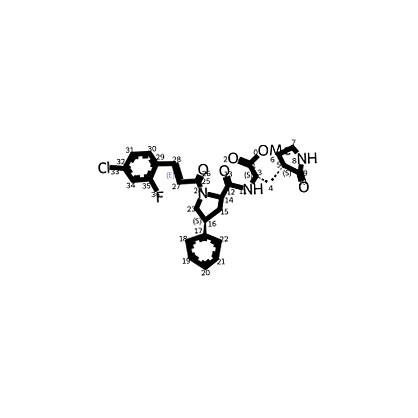 COC(=O)[C@H](C[C@@H]1CCNC1=O)NC(=O)C1C[C@@H](c2ccccc2)CN1C(=O)/C=C/c1ccc(Cl)cc1F